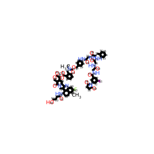 CC[C@@]1(OC(=O)c2ccccc2CN(C)C(=O)OCc2ccc(NC(=O)CNC(=O)[C@H](Cc3ccccc3)NC(=O)CNC(=O)CNC(=O)c3cc(I)cc(N4C(=O)C=CC4=O)c3)cc2)C(=O)OCc2c1cc1n(c2=O)Cc2c-1nc1cc(F)c(C)c3c1c2[C@@H](NC(=O)CCCO)CC3